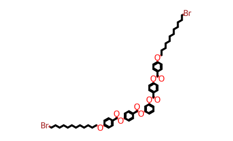 O=C(Oc1ccc(C(=O)Oc2cccc(OC(=O)c3ccc(OC(=O)c4ccc(OCCCCCCCCCCCCBr)cc4)cc3)c2)cc1)c1ccc(OCCCCCCCCCCCCBr)cc1